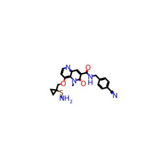 Cn1c(=O)c(C(=O)NCc2ccc(C#N)cc2)cc2nccc(OCC3(SN)CC3)c21